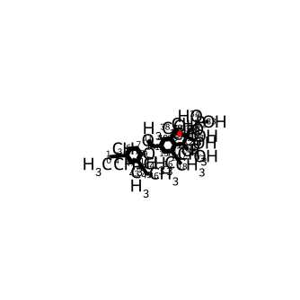 CCC(C)(C)c1ccc(OC(=O)c2cc(C(C)(C)C)c(C(OP(O)O)C(CO)(CO)COP(O)O)c(C(C)(C)C)c2)c(C(C)(C)CC)c1